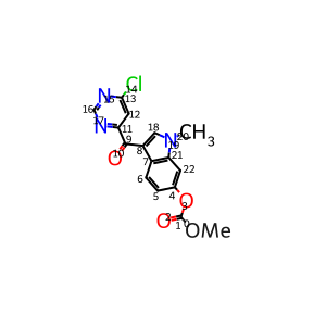 COC(=O)Oc1ccc2c(C(=O)c3cc(Cl)ncn3)cn(C)c2c1